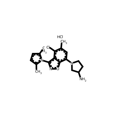 Cc1cc(N2CCC(N)C2)c2onc(-n3c(C)ccc3C)c2c1Cl.Cl